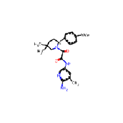 CNc1ccc([C@@H]2CCC(C)(C)CN2C(=O)C(=O)Nc2cnc(N)c(C)c2)cc1